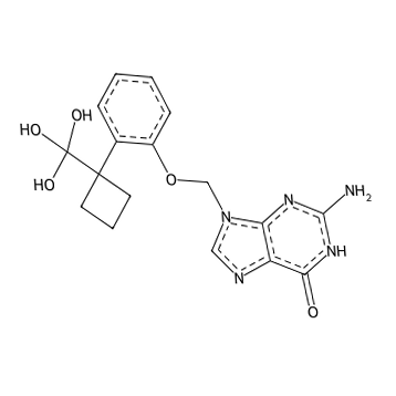 Nc1nc2c(ncn2COc2ccccc2C2(C(O)(O)O)CCC2)c(=O)[nH]1